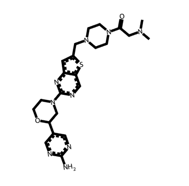 CN(C)CC(=O)N1CCN(Cc2cc3nc(N4CCOC(c5cnc(N)nc5)C4)ncc3s2)CC1